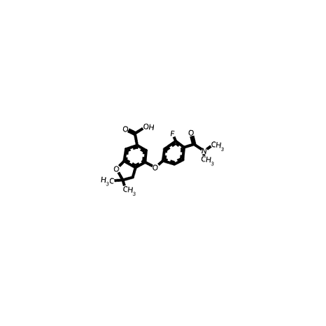 CN(C)C(=O)c1ccc(Oc2cc(C(=O)O)cc3c2CC(C)(C)O3)cc1F